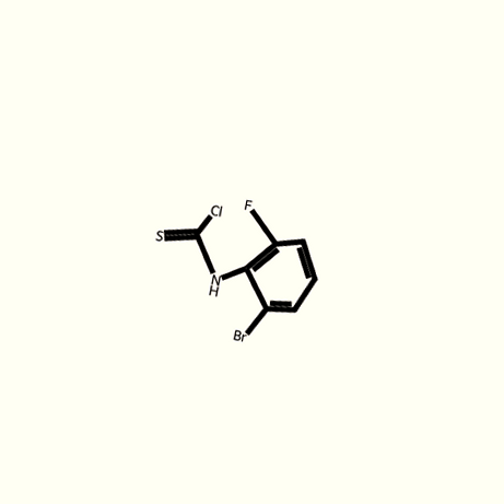 Fc1cccc(Br)c1NC(=S)Cl